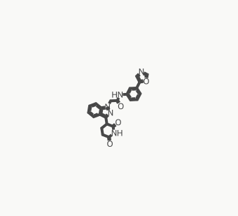 O=C1CCC(c2nn(CC(=O)Nc3cccc(-c4cnco4)c3)c3ccccc23)C(=O)N1